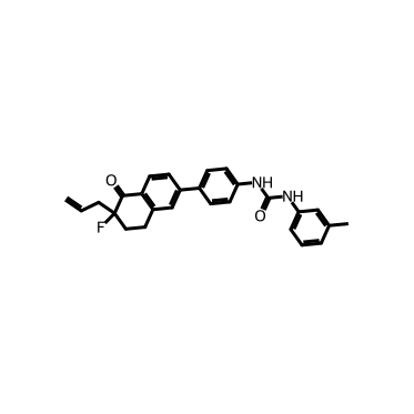 C=CCC1(F)CCc2cc(-c3ccc(NC(=O)Nc4cccc(C)c4)cc3)ccc2C1=O